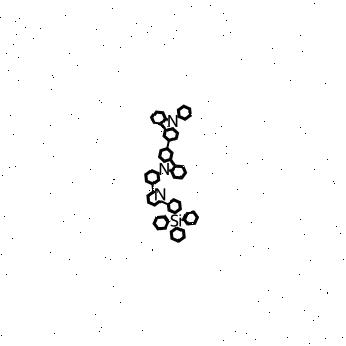 c1ccc(-n2c3ccccc3c3cc(-c4ccc5c(c4)c4ccccc4n5-c4cccc(-c5cccc(-c6cccc([Si](c7ccccc7)(c7ccccc7)c7ccccc7)c6)n5)c4)ccc32)cc1